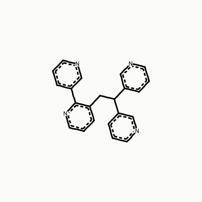 c1cncc(-c2ncccc2CC(c2cccnc2)c2cccnc2)c1